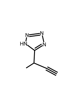 C#CC(C)c1nnn[nH]1